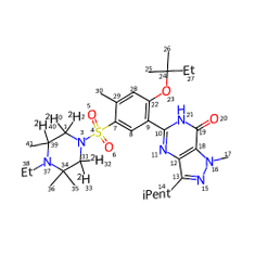 [2H]C1([2H])N(S(=O)(=O)c2cc(-c3nc4c(C(C)CCC)nn(C)c4c(=O)[nH]3)c(OC(C)(C)CC)cc2C)C([2H])([2H])C(C)(C)N(CC)C1([2H])C